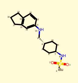 CCC(C)S(=O)(=O)N[C@H]1CC[C@H](CNc2ccc3c(c2)CCC3)CC1